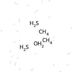 C.C.O.S.S